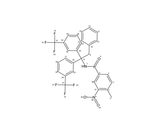 Cc1ccc(C(=O)NC(Cc2ccccc2)(c2cccc(C(F)(F)F)c2)c2cccc(C(F)(F)F)c2)cc1[N+](=O)[O-]